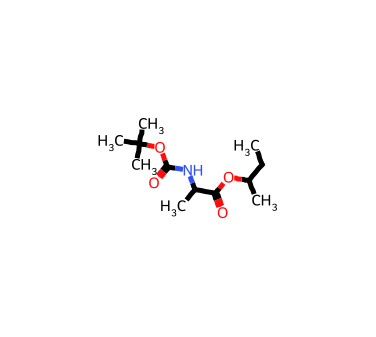 CCC(C)OC(=O)C(C)NC(=O)OC(C)(C)C